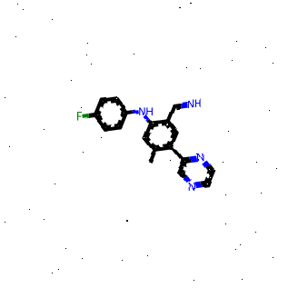 Cc1cc(Nc2ccc(F)cc2)c(C=N)cc1-c1cnccn1